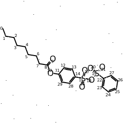 CCCCCCCCC(=O)Oc1ccc(S(=O)(=O)OS(=O)(=O)c2ccccc2)cc1